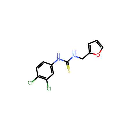 S=C(NCc1ccco1)Nc1ccc(Cl)c(Cl)c1